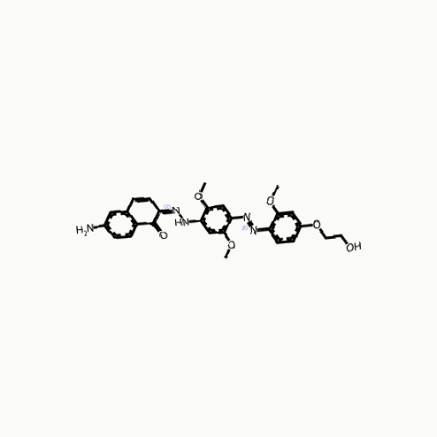 COc1cc(OCCO)ccc1/N=N/c1cc(OC)c(N/N=C2/C=Cc3cc(N)ccc3C2=O)cc1OC